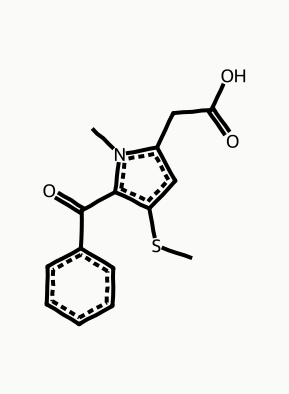 CSc1cc(CC(=O)O)n(C)c1C(=O)c1ccccc1